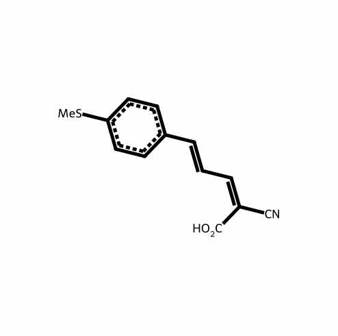 CSc1ccc(C=CC=C(C#N)C(=O)O)cc1